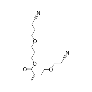 C=C(CCOCCC#N)C(=O)OCCCOCCCC#N